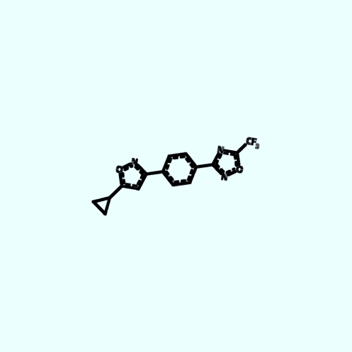 FC(F)(F)c1nc(-c2ccc(-c3cc(C4CC4)on3)cc2)no1